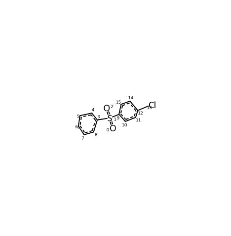 O=S(=O)(c1cc[c]cc1)c1ccc(Cl)cc1